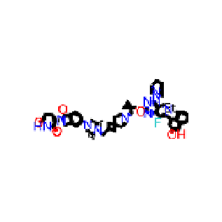 CCc1cccc2cc(O)cc(-c3ncc4c(N5CC6CCC(C5)N6)nc(OCC5(CN6CCC7(CC6)CC(CN6[C@H](C)CN(c8ccc9c(c8)CN([C@H]8CCC(=O)NC8=O)C9=O)C[C@@H]6C)C7)CC5)nc4c3F)c12